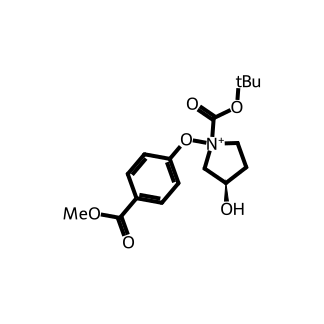 COC(=O)c1ccc(O[N+]2(C(=O)OC(C)(C)C)CC[C@@H](O)C2)cc1